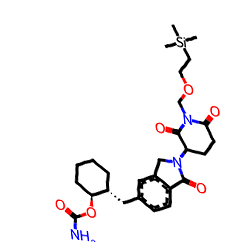 C[Si](C)(C)CCOCN1C(=O)CCC(N2Cc3cc(C[C@H]4CCCC[C@@H]4OC(N)=O)ccc3C2=O)C1=O